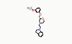 COc1cccc(OC[C@H]2CN(CCN3CCc4ccccc43)CCO2)c1